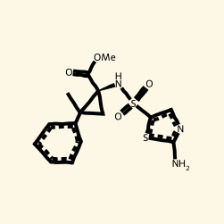 COC(=O)[C@]1(NS(=O)(=O)c2cnc(N)s2)CC1(C)c1ccccc1